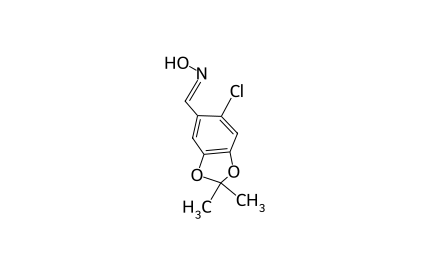 CC1(C)Oc2cc(Cl)c(C=NO)cc2O1